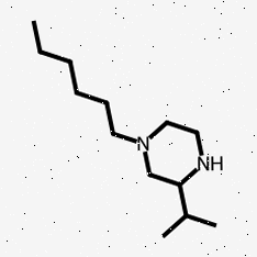 CCCCCCN1CCNC(C(C)C)C1